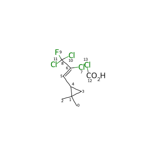 CC1(C)CC1C=C(Cl)C(F)(Cl)Cl.O=C(O)Cl